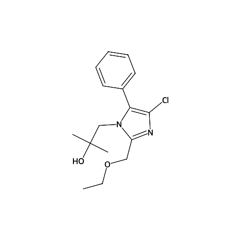 CCOCc1nc(Cl)c(-c2ccccc2)n1CC(C)(C)O